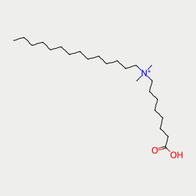 CCCCCCCCCCCCCC[N+](C)(C)CCCCCCCC(=O)O